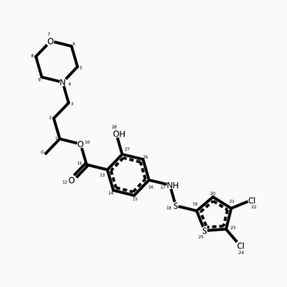 CC(CCN1CCOCC1)OC(=O)c1ccc(NSc2cc(Cl)c(Cl)s2)cc1O